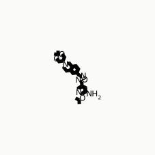 CC(C)Oc1ncc(-c2nc(-c3ccc4c(c3)CCN(C3COC(C)(C)OC3)C4)no2)cc1N